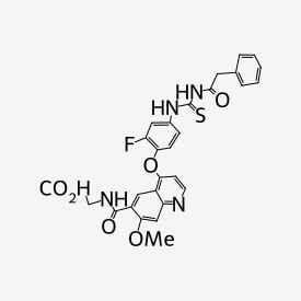 COc1cc2nccc(Oc3ccc(NC(=S)NC(=O)Cc4ccccc4)cc3F)c2cc1C(=O)NCC(=O)O